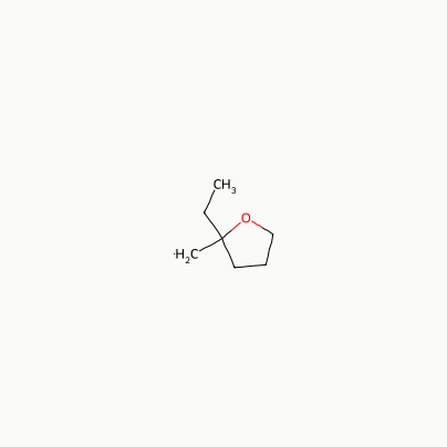 [CH2]C1(CC)CCCO1